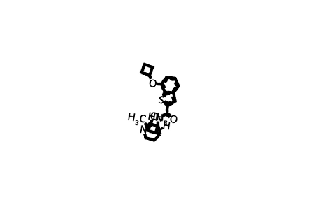 CC1(C)[C@H](NC(=O)c2cc3cccc(OC4CCC4)c3s2)C2CCN1CC2